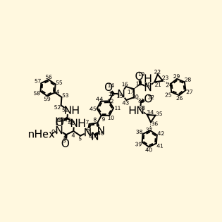 CCCCCCNC(=O)C(Cn1cc(-c2ccc(C(=O)N3C[C@@H](C(=O)N[C@H]4C[C@@H]4c4ccccc4)[C@H](C(=O)N[C@H]4C[C@@H]4c4ccccc4)C3)cc2)nn1)NC(=O)NCCc1ccccc1